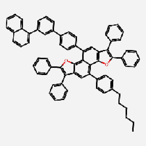 CCCCCCc1ccc(-c2cc3c(-c4ccccc4)c(-c4ccccc4)oc3c3c(-c4ccc(-c5cccc(-c6cccc7ccccc67)c5)cc4)cc4c(-c5ccccc5)c(-c5ccccc5)oc4c23)cc1